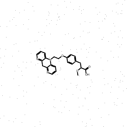 COC(Cc1ccc(OCCN2c3cccnc3Cc3ncccc32)cc1)C(=O)O